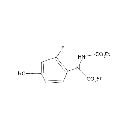 CCOC(=O)NN(C(=O)OCC)c1ccc(O)cc1F